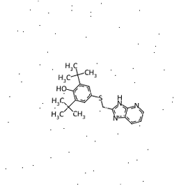 CC(C)(C)c1cc(SCc2nc3cccnc3[nH]2)cc(C(C)(C)C)c1O